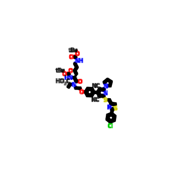 C[C@@H](C(=O)O)N(CCOc1ccc(-c2c(C#N)c(SCc3csc(-c4ccc(Cl)cc4)n3)nc(N3CCCC3)c2C#N)cc1)C(=O)[C@H](CCCCNC(=O)OC(C)(C)C)NC(=O)OC(C)(C)C